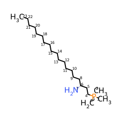 C=P(C)(C)CC[C@H](N)CCCCCCCCCCCCCCCC